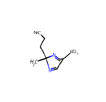 CC1(CCC#N)N=CC([N+](=O)[O-])=N1